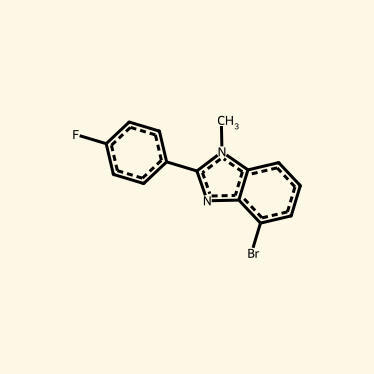 Cn1c(-c2ccc(F)cc2)nc2c(Br)cccc21